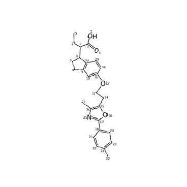 CCC(C(=O)O)C1CCc2cc(OCCc3oc(-c4ccc(C)cc4)nc3C)ccc21